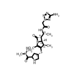 C[C@@H](NC(=O)Cn1nnc(N)n1)[C@H]1C(=O)N2C(C(=O)O)=C(S[C@@H]3CNC(C(=O)N(C)C)C3)[C@H](C)[C@H]12